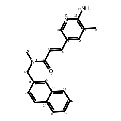 Cc1cc(/C=C/C(=O)N(C)Cc2ccc3ccccc3c2)cnc1N